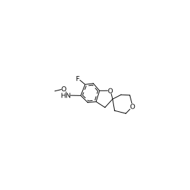 CONc1cc2c(cc1F)OC1(CCOCC1)C2